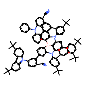 CC(C)(C)c1cc(-c2cc3c4c(c2)N(c2ccc(C(C)(C)C)cc2-c2ccccc2)c2cc(-c5cc(C#N)ccc5N(c5ccccc5)c5ccccc5)ccc2B4c2ccc(-c4cc(-n5c6ccc(C(C)(C)C)cc6c6cc(C(C)(C)C)ccc65)ccc4C#N)cc2N3c2ccc(C(C)(C)C)cc2-c2ccccc2)cc(C(C)(C)C)c1